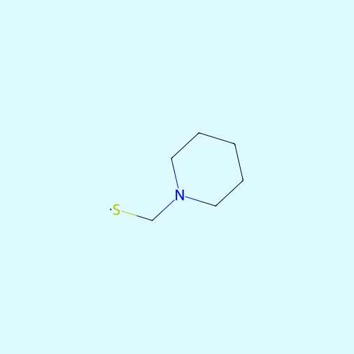 [S]CN1CCCCC1